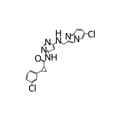 O=C(Nc1cc(NCc2cn3cc(Cl)ccc3n2)ncn1)C1CC1c1cccc(Cl)c1